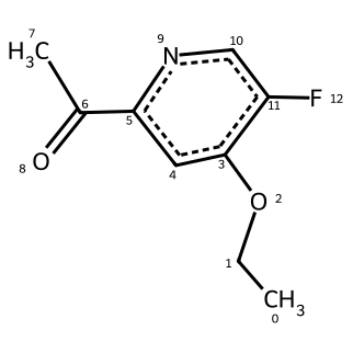 CCOc1cc(C(C)=O)ncc1F